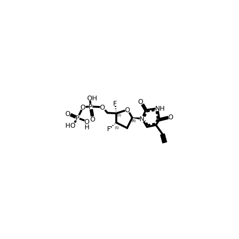 C#Cc1cn([C@H]2C[C@H](F)[C@@](F)(COP(=O)(O)OP(=O)(O)O)O2)c(=O)[nH]c1=O